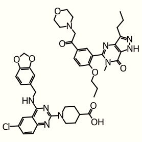 CCCOc1ccc(C(=O)CN2CCOCC2)cc1-c1nc2c(CCC)n[nH]c2c(=O)n1C.O=C(O)C1CCN(c2nc(NCc3ccc4c(c3)OCO4)c3cc(Cl)ccc3n2)CC1